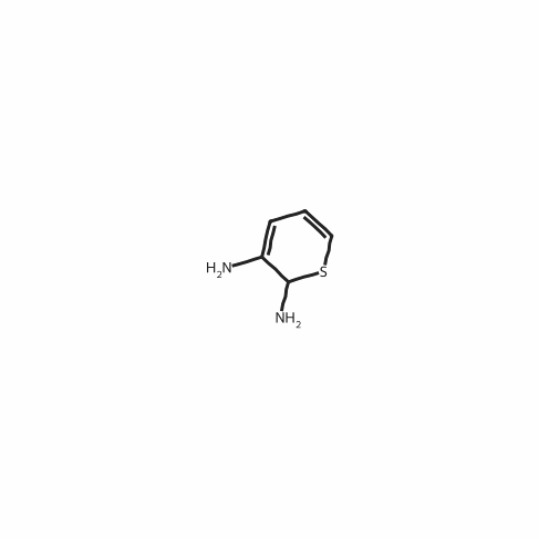 NC1=CC=CSC1N